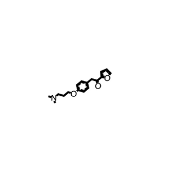 CN(C)CCCOc1ccc(CC(=O)c2ccco2)cc1